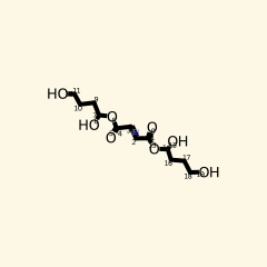 O=C(/C=C/C(=O)OC(O)CCCO)OC(O)CCCO